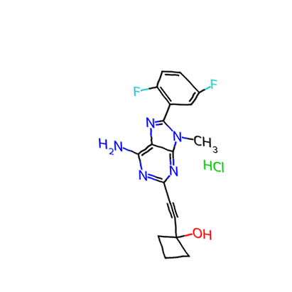 Cl.Cn1c(-c2cc(F)ccc2F)nc2c(N)nc(C#CC3(O)CCC3)nc21